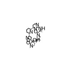 C[C@@H](Nc1nccc(-c2cccc(-c3cc([C@]4(O)CCN(C)C4=O)on3)n2)n1)C(=O)N1CC(C)(F)C1